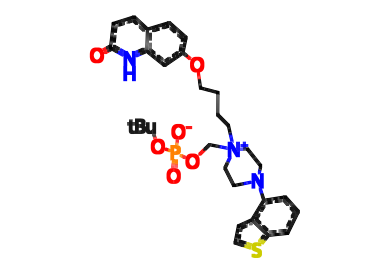 CC(C)(C)OP(=O)([O-])OC[N+]1(CCCCOc2ccc3ccc(=O)[nH]c3c2)CCN(c2cccc3sccc23)CC1